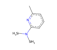 Cc1cccc(N([SiH3])[SiH3])n1